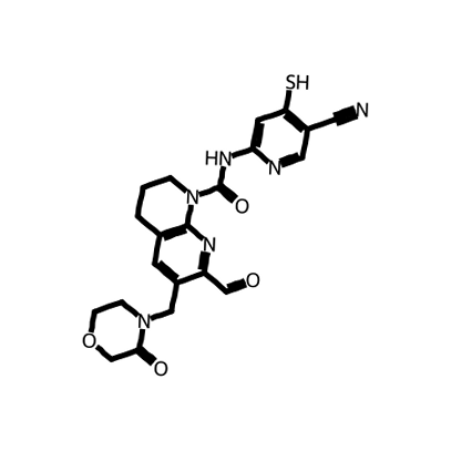 N#Cc1cnc(NC(=O)N2CCCc3cc(CN4CCOCC4=O)c(C=O)nc32)cc1S